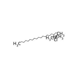 CCCCCCCCCCCCCCCCC(CC)[N+](C)(C)Cl